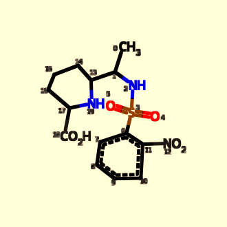 CC(NS(=O)(=O)c1ccccc1[N+](=O)[O-])C1CCCC(C(=O)O)N1